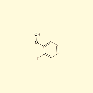 OOc1ccccc1I